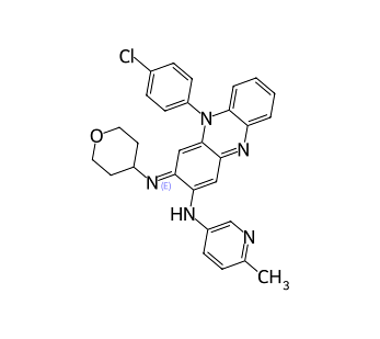 Cc1ccc(Nc2cc3nc4ccccc4n(-c4ccc(Cl)cc4)c-3c/c2=N\C2CCOCC2)cn1